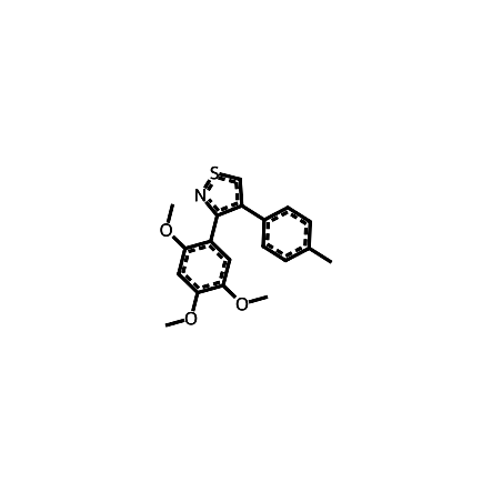 COc1cc(OC)c(-c2nscc2-c2ccc(C)cc2)cc1OC